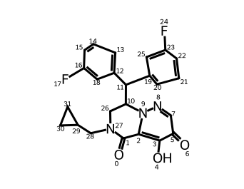 O=C1c2c(O)c(=O)cnn2C(C(c2cccc(F)c2)c2cccc(F)c2)CN1CC1CC1